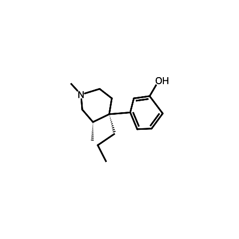 CCC[C@@]1(c2cccc(O)c2)CCN(C)C[C@H]1C